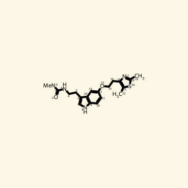 CNC(=O)NCCc1c[nH]c2ccc(OCCc3nc(C)sc3C)cc12